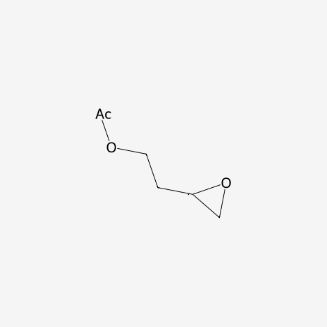 CC(=O)OCC[C]1CO1